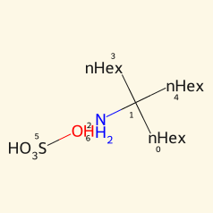 CCCCCCC(N)(CCCCCC)CCCCCC.O=S(=O)(O)O